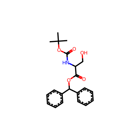 CC(C)(C)OC(=O)NC(CO)C(=O)OC(c1ccccc1)c1ccccc1